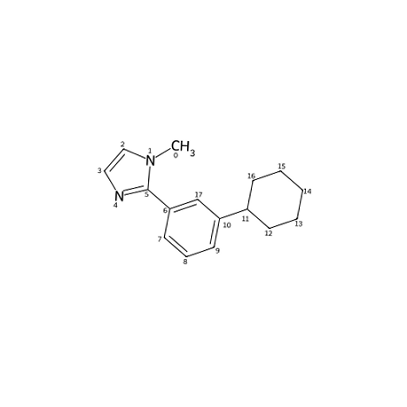 Cn1ccnc1-c1cccc(C2CCCCC2)c1